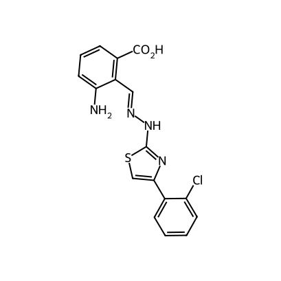 Nc1cccc(C(=O)O)c1/C=N/Nc1nc(-c2ccccc2Cl)cs1